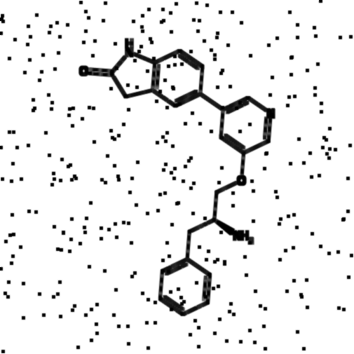 N[C@H](COc1cncc(-c2ccc3c(c2)CC(=O)N3)c1)Cc1ccccc1